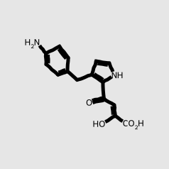 Nc1ccc(Cc2cc[nH]c2C(=O)C=C(O)C(=O)O)cc1